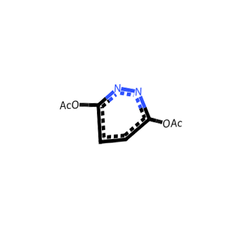 CC(=O)Oc1ccc(OC(C)=O)nn1